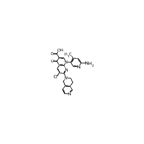 Cc1cc(N)ncc1-n1cc(C(=O)O)c(=O)c2cc(Cl)c(N3CCc4cnccc4C3)nc21